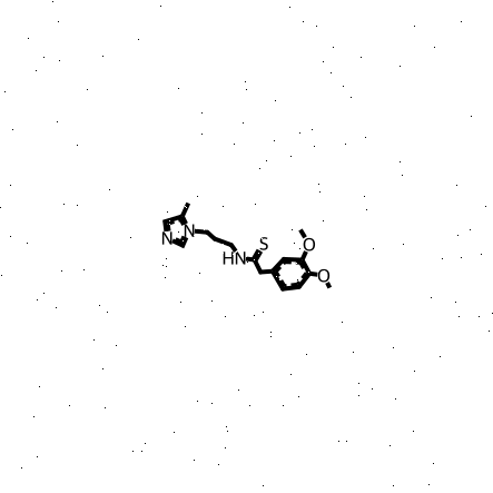 COc1ccc(CC(=S)NCCCn2cncc2C)cc1OC